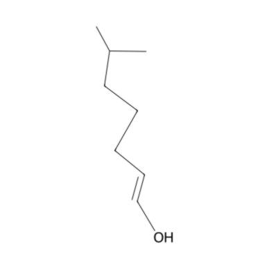 CC(C)CCC/C=C/O